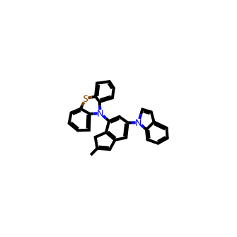 CC1=Cc2cc(-n3ccc4ccccc43)cc(N3c4ccccc4Sc4ccccc43)c2C1